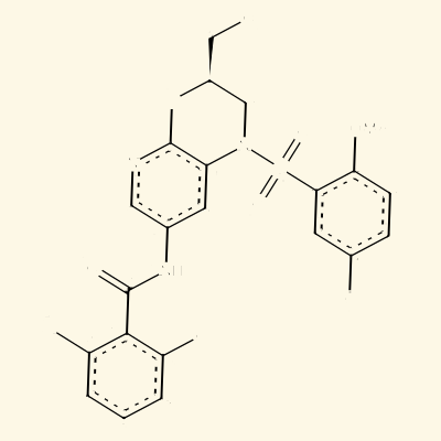 COc1ccc(Cl)cc1S(=O)(=O)N1C[C@H](CO)Oc2ncc(NC(=O)c3c(Cl)cccc3Cl)cc21